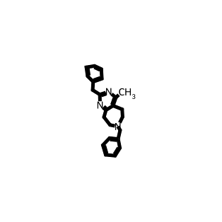 Cc1nc(Cc2ccccc2)nc2c1CCN(Cc1ccccc1)CC2